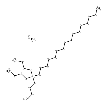 CCCCCCCCCCCCCCCC[P+](CCCC)(CCCC)CCCC.P.[Br-]